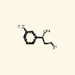 O[C@@H](CCCl)c1cccc(C(F)(F)F)c1